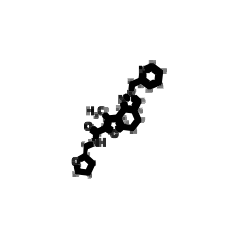 Cc1c(C(=O)NC[C@H]2CCCO2)oc2c1-c1nn(Cc3ccccn3)cc1CC2